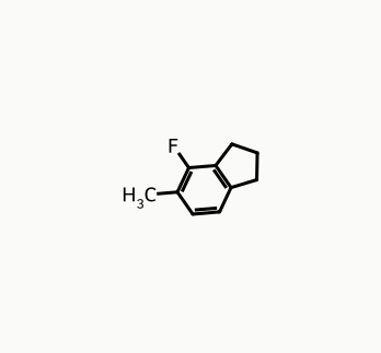 Cc1ccc2c(c1F)CCC2